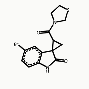 O=C(C1CC12C(=O)Nc1ccc(Br)cc12)N1CCSC1